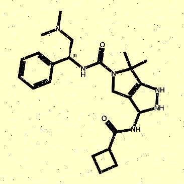 CN(C)C[C@@H](NC(=O)N1CC2=C(NNC2NC(=O)C2CCC2)C1(C)C)c1ccccc1